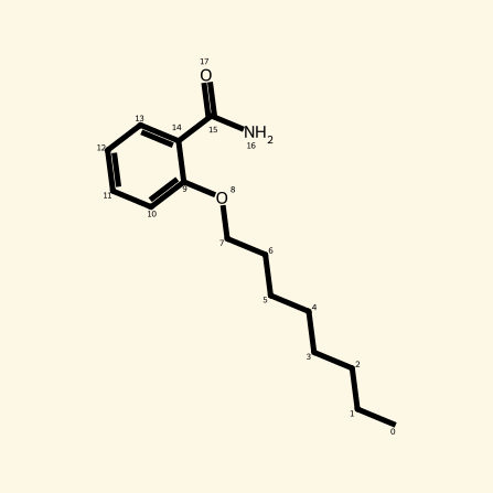 CCCCCCCCOc1ccccc1C(N)=O